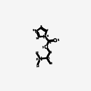 CC(COC(=O)n1ccnc1)N(C)C